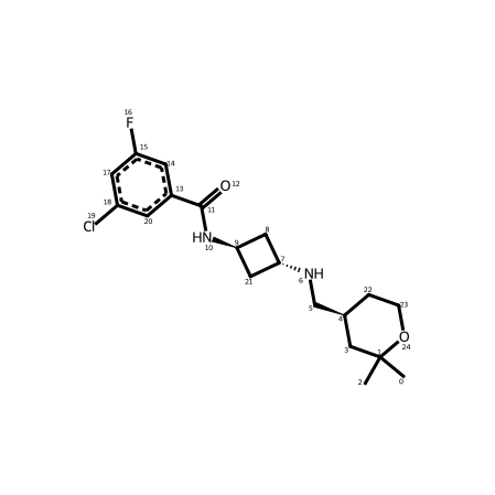 CC1(C)C[C@@H](CN[C@H]2C[C@H](NC(=O)c3cc(F)cc(Cl)c3)C2)CCO1